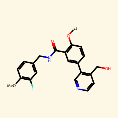 CCOc1ccc(-c2cnccc2CO)cc1C(=O)NCc1ccc(OC)c(F)c1